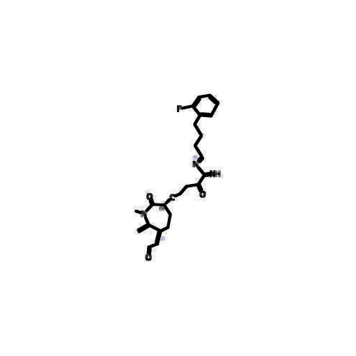 C=C1/C(=C\C=O)CC[C@H](CCCC(=O)C(=N)/N=C/CCCc2ccccc2F)C(=O)N1C